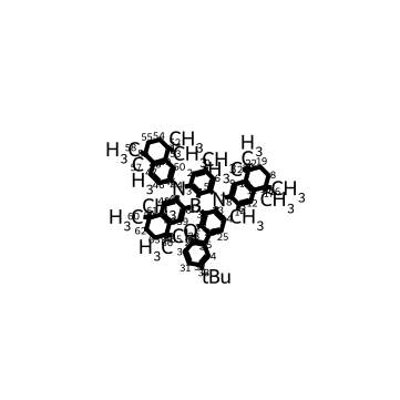 Cc1cc2c3c(c1)N(c1cc4c(cc1C)C(C)(C)CCC4(C)C)c1ccc4c(oc5ccc(C(C)(C)C)cc54)c1B3c1cc3c(cc1N2c1ccc2c(c1)C(C)(C)CCC2(C)C)C(C)(C)CCC3(C)C